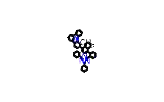 CC1c2c(c3cccc4c5ccccc5n2c34)C=CC1c1ccc(-c2ccccc2-c2nc(-c3ccccc3)nc(-c3ccccc3)n2)c2ccccc12